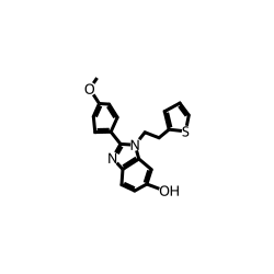 COc1ccc(-c2nc3ccc(O)cc3n2CCc2cccs2)cc1